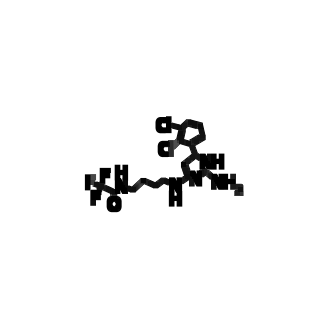 NC1=NC(NCCCCNC(=O)C(F)(F)F)=CC(c2cccc(Cl)c2Cl)N1